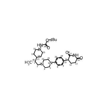 C[C@@H](CN1CCN(c2ccc(C3CCC(=O)NC3=O)cc2)CC1)C1CCN(NC(=O)OC(C)(C)C)CC1